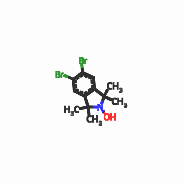 CC1(C)c2cc(Br)c(Br)cc2C(C)(C)N1O